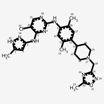 Cc1cc(Nc2nc(Nc3cc(C)c(C4CCN(Cc5noc(C)n5)CC4)cc3C)ncc2Cl)n[nH]1